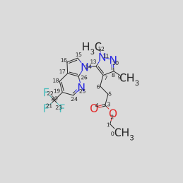 CCOC(=O)CCc1c(C)nn(C)c1-n1ccc2cc(C(F)(F)F)cnc21